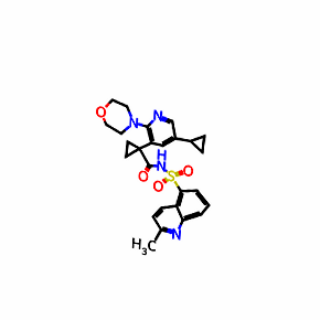 Cc1ccc2c(S(=O)(=O)NC(=O)C3(c4cc(C5CC5)cnc4N4CCOCC4)CC3)cccc2n1